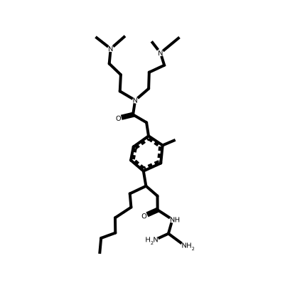 CCCCCCC(CC(=O)NC(N)N)c1ccc(CC(=O)N(CCCN(C)C)CCCN(C)C)c(C)c1